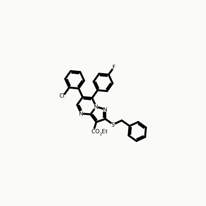 CCOC(=O)c1c(SCc2ccccc2)nn2c(-c3ccc(F)cc3)c(-c3ccccc3Cl)cnc12